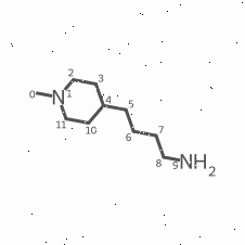 CN1CCC(CCCCN)CC1